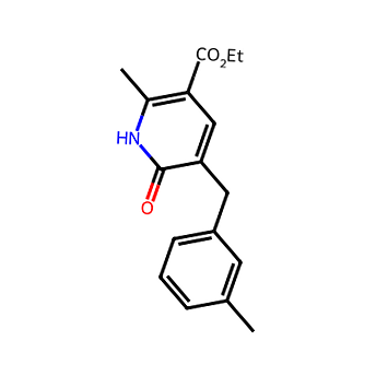 CCOC(=O)c1cc(Cc2cccc(C)c2)c(=O)[nH]c1C